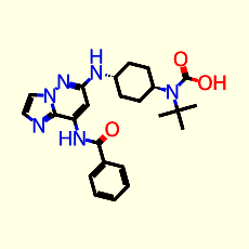 CC(C)(C)N(C(=O)O)[C@H]1CC[C@H](Nc2cc(NC(=O)c3ccccc3)c3nccn3n2)CC1